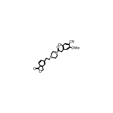 COc1cc(CC(=O)N2CCN(CCc3ccc4c(c3)COC4=O)CC2)c(Cl)cc1C#N